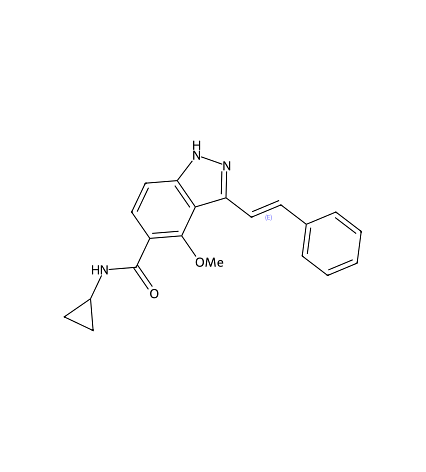 COc1c(C(=O)NC2CC2)ccc2[nH]nc(/C=C/c3ccccc3)c12